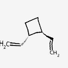 C=C[C@@H]1CC[C@H]1C=C